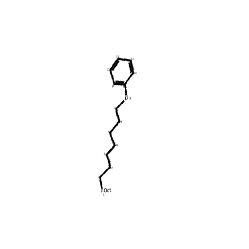 CCCCCCCCCCCCCCCOc1ccccc1